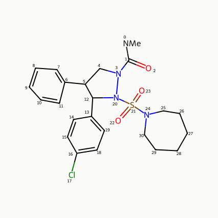 CNC(=O)N1CC(c2ccccc2)C(c2ccc(Cl)cc2)N1S(=O)(=O)N1CCCCCC1